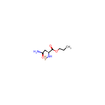 CCCOC(=O)[C@H](CC(N)=O)NS